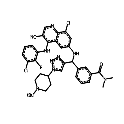 CN(C)C(=O)c1cccc(C(Nc2cc(Cl)c3ncc(C#N)c(Nc4cccc(Cl)c4F)c3c2)c2cn(C3CCN(C(C)(C)C)CC3)nn2)c1